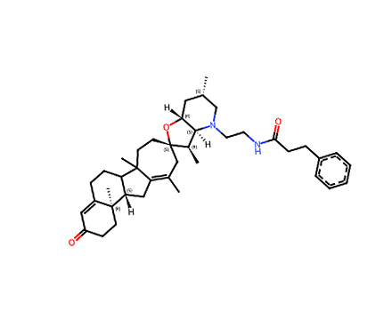 CC1=C2C[C@H]3C(CCC4=CC(=O)CC[C@@]43C)C2(C)CC[C@@]2(C1)O[C@@H]1C[C@H](C)CN(CCNC(=O)CCc3ccccc3)[C@H]1[C@H]2C